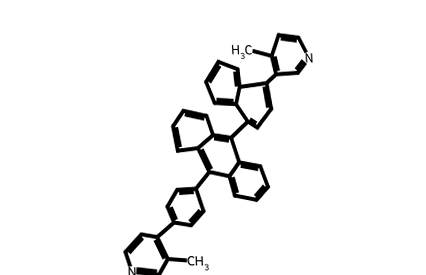 Cc1cnccc1-c1ccc(-c2c3ccccc3c(-c3ccc(-c4cnccc4C)c4ccccc34)c3ccccc23)cc1